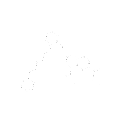 COC(=O)CCN(CCc1ccccc1OCCCCCc1ccccc1)Cc1ccc(C(=O)OC)cc1